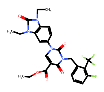 CCOC(=O)c1cn(-c2ccc3c(c2)n(CC)c(=O)n3CC)c(=O)n(Cc2cccc(F)c2C(F)(F)F)c1=O